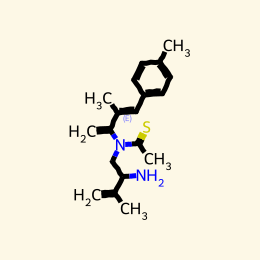 C=C(C)C(N)CN(C(=C)/C(C)=C/c1ccc(C)cc1)C(C)=S